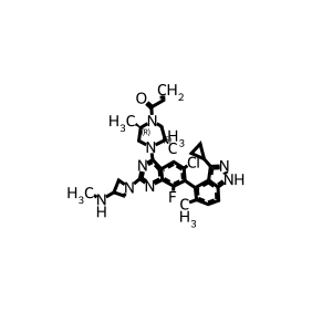 C=CC(=O)N1C[C@H](C)N(c2nc(N3CC(NC)C3)nc3c(F)c(-c4c(C)ccc5[nH]nc(C6CC6)c45)c(Cl)cc23)C[C@H]1C